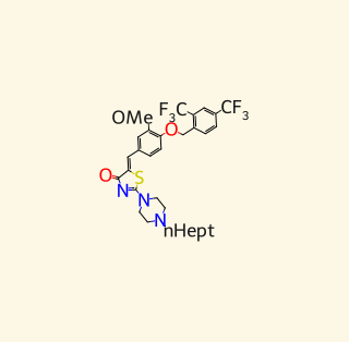 CCCCCCCN1CCN(C2=NC(=O)C(=Cc3ccc(OCc4ccc(C(F)(F)F)cc4C(F)(F)F)c(OC)c3)S2)CC1